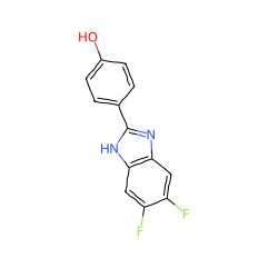 Oc1ccc(-c2nc3cc(F)c(F)cc3[nH]2)cc1